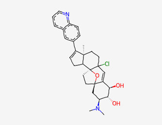 CN(C)[C@H]1C[C@@]23CC[C@]4(O2)C2CC=C(c5ccc6ncccc6c5)[C@@]2(C)CCC4(Cl)C=C3[C@@H](O)[C@@H]1O